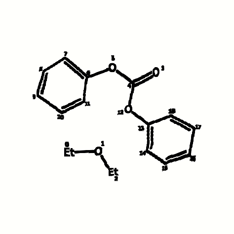 CCOCC.O=C(Oc1ccccc1)Oc1ccccc1